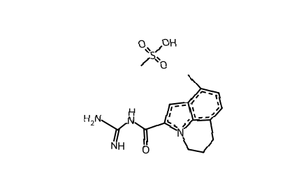 CS(=O)(=O)O.Cc1ccc2c3c1cc(C(=O)NC(=N)N)n3CCC2